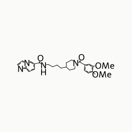 COc1ccc(C(=O)N2CCC(CCCCNC(=O)c3ccc4nccn4c3)CC2)cc1OC